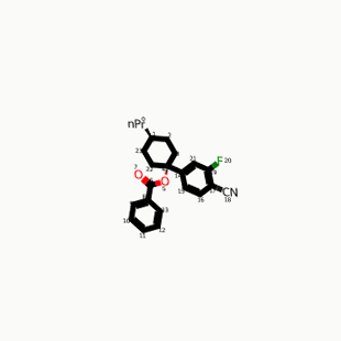 CCC[C@H]1CC[C@@](OC(=O)c2ccccc2)(c2ccc(C#N)c(F)c2)CC1